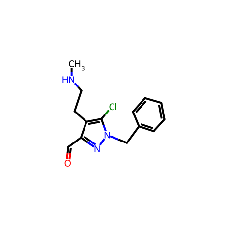 CNCCc1c(C=O)nn(Cc2ccccc2)c1Cl